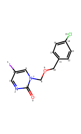 O=c1ncc(I)cn1COCc1ccc(Cl)cc1